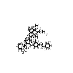 CCN(C(=O)C(Cc1ccc(OCc2ccccc2)cc1)NC(=O)C(Cc1cccnc1)NCCC(C)C)N1CCCCC1